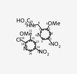 COc1cc([N+](=O)[O-])cnc1CNC(=O)O.COc1cc([N+](=O)[O-])cnc1Cl